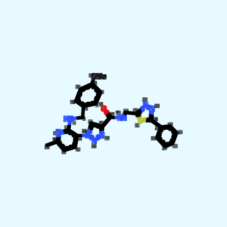 COc1ccc(CNc2nc(C)ccc2-n2cc(C(=O)NCc3nnc(-c4ccccc4)s3)nn2)cc1